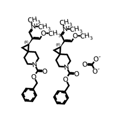 COC=C(C=[N+](C)C)[C@@H]1CC12CCN(C(=O)OCc1ccccc1)CC2.COC=C(C=[N+](C)C)[C@@H]1CC12CCN(C(=O)OCc1ccccc1)CC2.O=C([O-])[O-]